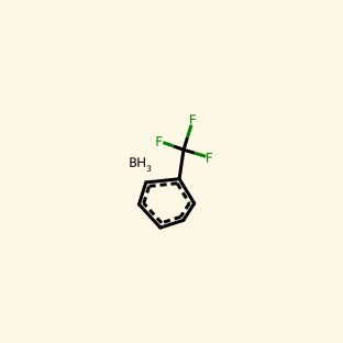 B.FC(F)(F)c1ccccc1